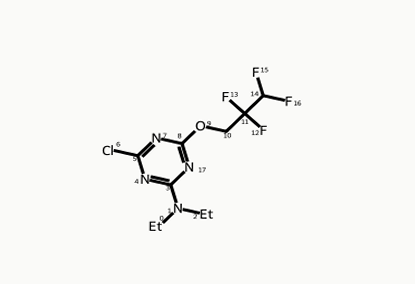 CCN(CC)c1nc(Cl)nc(OCC(F)(F)C(F)F)n1